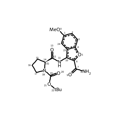 COc1ccc2oc(C(N)=O)c(NC(=O)[C@@H]3CCCN3C(=O)OC(C)(C)C)c2c1